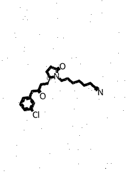 N#CCCCCCCN1C(=O)CC[C@@H]1CCC(=O)Cc1cccc(Cl)c1